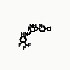 N=N/C(=C\Nc1ccc(F)c(C(F)F)c1)COc1ccc(Cl)cn1